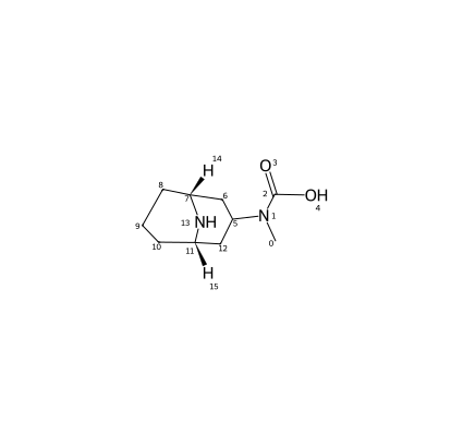 CN(C(=O)O)C1C[C@H]2CCC[C@@H](C1)N2